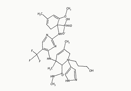 CNC(=O)C1C(C)(Nc2nc(NC3(P(=O)([O-])O)CC=C(C)C=C3OC)ncc2C(F)(F)F)C=C(C)C[N+]1(CCCO)c1cn[nH]c1